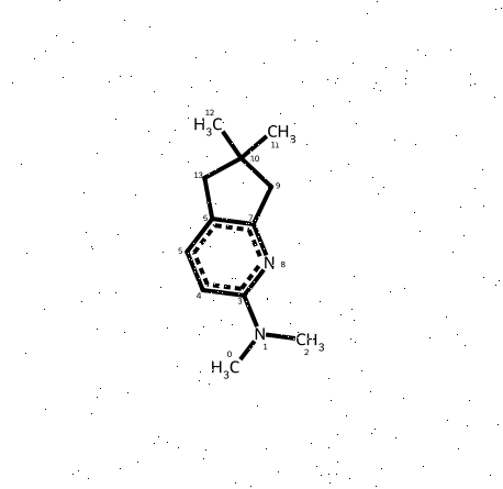 CN(C)c1ccc2c(n1)CC(C)(C)C2